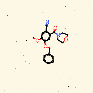 COc1cc(C#N)c(C(=O)N2CCOCC2)cc1OCc1ccccc1